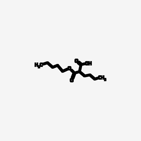 CCCCCOC(=O)C(CCCC)C(=O)O